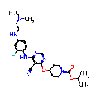 CC(C)OC(=O)N1CCC(Oc2ncnc(Nc3ccc(NCCN(C)C)cc3F)c2C#N)CC1